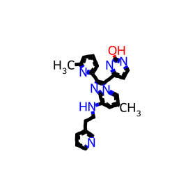 Cc1cc(NCCc2cccnc2)c2nc(-c3cccc(C)n3)c(-c3ccnc(O)n3)n2c1